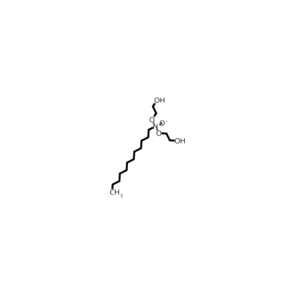 CCCCCCCCCCCC[N+]([O-])(OCCO)OCCO